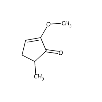 COC1=CCC(C)C1=O